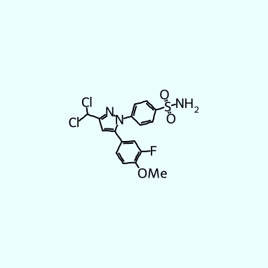 COc1ccc(-c2cc(C(Cl)Cl)nn2-c2ccc(S(N)(=O)=O)cc2)cc1F